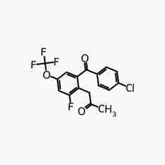 CC(=O)Cc1c(F)cc(OC(F)(F)F)cc1C(=O)c1ccc(Cl)cc1